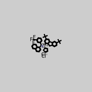 CC(C)(C)c1ccc2c(c1)-c1cc(C(C)(C)C)c[c](/[Zr+2]([C]3=CC=CC3)=[C](\c3cccc(C(F)(F)F)c3)c3cccc4ccccc34)c1C2.[Cl-].[Cl-]